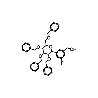 OCc1cc(F)cc(C2O[C@H](COCc3ccccc3)[C@@H](OCc3ccccc3)[C@H](OCc3ccccc3)[C@H]2OCc2ccccc2)c1